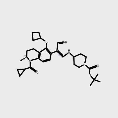 C[C@H]1CCc2c(ccc(/C(C=N)=C/NC3CCN(C(=O)OC(C)(C)C)CC3)c2OC2CCC2)N1C(=O)C1CC1